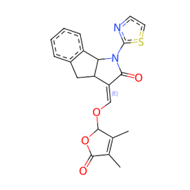 CC1=C(C)C(O/C=C2/C(=O)N(c3nccs3)C3c4ccccc4CC23)OC1=O